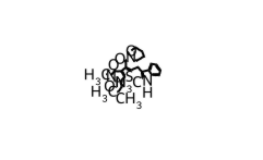 Cc1[nH]c2ccccc2c1Cc1sc2c(c1C(=O)N1CCCCO1)c(=O)n(C)c(=O)n2CC(C)C